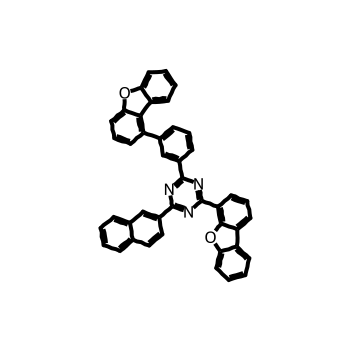 c1cc(-c2nc(-c3ccc4ccccc4c3)nc(-c3cccc4c3oc3ccccc34)n2)cc(-c2cccc3oc4ccccc4c23)c1